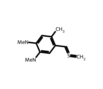 C=S=Cc1cc(NC)c(NC)cc1C